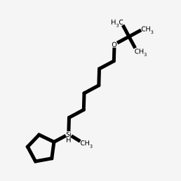 C[SiH](CCCCCCOC(C)(C)C)C1CCCC1